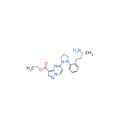 CCOC(=O)c1cnn2ccc(N3CCCN3c3ccccc3CC[C@@H](C)N)nc12